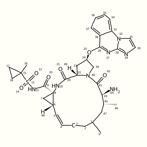 CC1CC/C=C\[C@@H]2C[C@@]2(C(=O)NS(=O)(=O)C2(C)CC2)NC(=O)[C@@H]2C[C@@H](Oc3nc4nccn4c4ccccc34)CN2C(=O)[C@@H](N)[C@H](C)C1